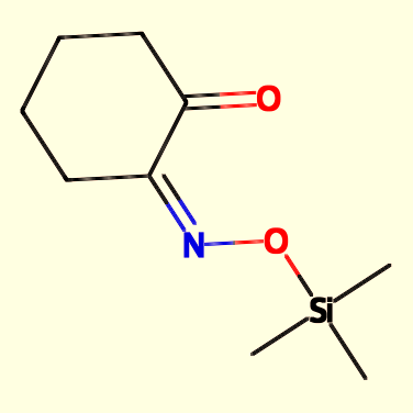 C[Si](C)(C)O/N=C1/CCCCC1=O